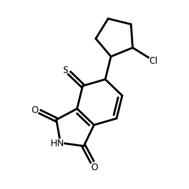 O=C1NC(=O)C2=C1C=CC(C1CCCC1Cl)C2=S